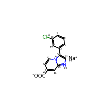 O=C([O-])c1ccn2c(-c3cccc(Cl)c3)cnc2c1.[Na+]